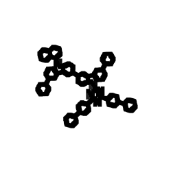 c1ccc(-c2ccc(-c3nc(-c4ccc(-c5ccccc5)cc4)nc(-n4c5ccc(-c6ccccc6)cc5c5cc(-c6ccc7c(c6)c6cc(-c8ccccc8)ccc6n7-c6cccc7ccccc67)ccc54)n3)cc2)cc1